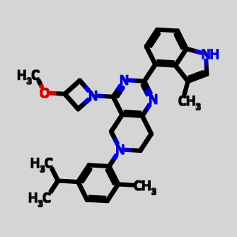 COC1CN(c2nc(-c3cccc4[nH]cc(C)c34)nc3c2CN(c2cc(C(C)C)ccc2C)CC3)C1